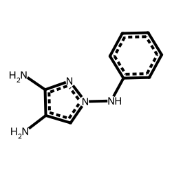 Nc1cn(Nc2ccccc2)nc1N